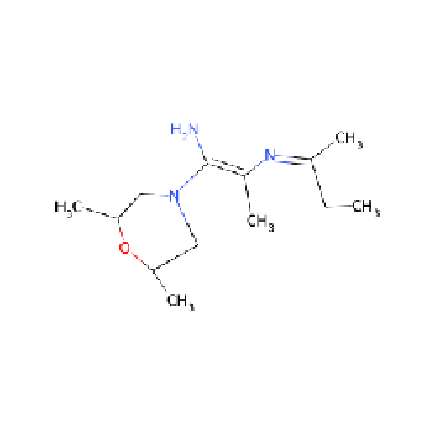 CC/C(C)=N\C(C)=C(/N)N1CC(C)OC(C)C1